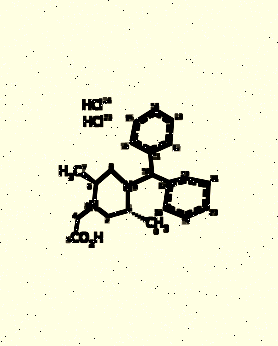 C[C@@H]1CN(CC(=O)O)[C@@H](C)CN1C(c1ccccc1)c1ccccc1.Cl.Cl